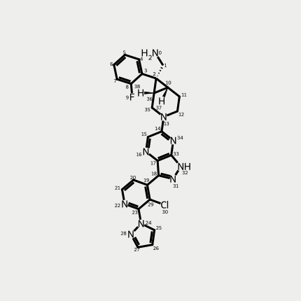 NC[C@]1(c2ccccc2F)[C@@H]2CCN(c3cnc4c(-c5ccnc(-n6cccn6)c5Cl)n[nH]c4n3)C[C@@H]21